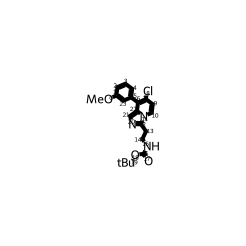 COc1cccc(-c2c(Cl)ccn3c(CCNC(=O)OC(C)(C)C)ncc23)c1